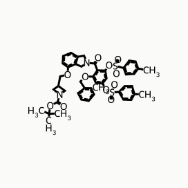 Cc1ccc(S(=O)(=O)Oc2cc(OS(=O)(=O)c3ccc(C)cc3)c(C(=O)N3Cc4cccc(OCC5CN(C(=O)OC(C)(C)C)C5)c4C3)c(OCc3ccccc3)c2C)cc1